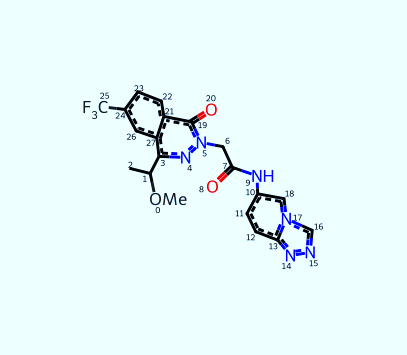 COC(C)c1nn(CC(=O)Nc2ccc3nncn3c2)c(=O)c2ccc(C(F)(F)F)cc12